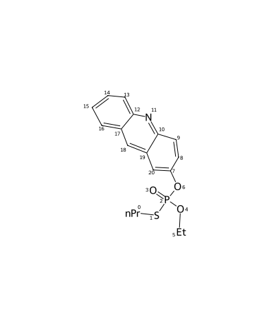 CCCSP(=O)(OCC)Oc1ccc2nc3ccccc3cc2c1